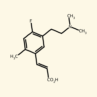 Cc1cc(F)c(CCN(C)C)cc1/C=C/C(=O)O